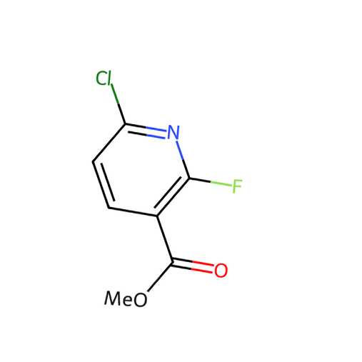 COC(=O)c1ccc(Cl)nc1F